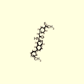 CC1=NC=C=C(c2ccc3cnc(NC(=O)CN4CCC(C(C)F)CC4)cc3c2)S1